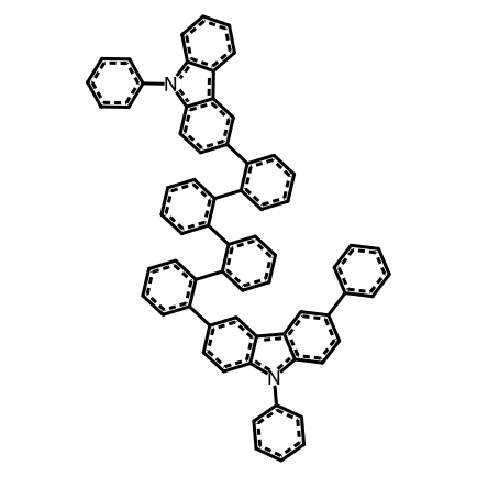 c1ccc(-c2ccc3c(c2)c2cc(-c4ccccc4-c4ccccc4-c4ccccc4-c4ccccc4-c4ccc5c(c4)c4ccccc4n5-c4ccccc4)ccc2n3-c2ccccc2)cc1